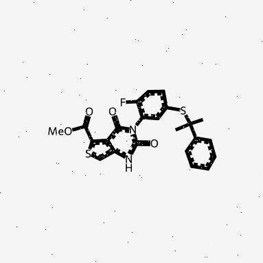 COC(=O)c1scc2[nH]c(=O)n(-c3cc(SC(C)(C)c4ccccc4)ccc3F)c(=O)c12